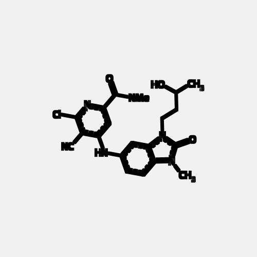 CNC(=O)c1cc(Nc2ccc3c(c2)n(CCC(C)O)c(=O)n3C)c(C#N)c(Cl)n1